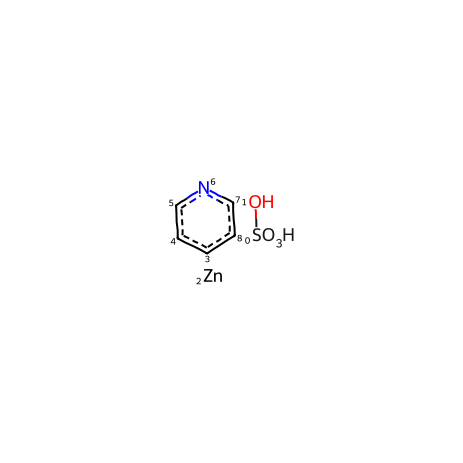 O=S(=O)(O)O.[Zn].c1ccncc1